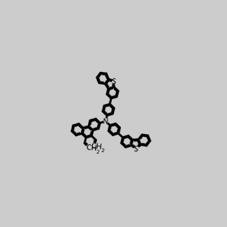 C=Cc1c(C=C)c2cc(N(c3ccc(-c4ccc5sc6ccccc6c5c4)cc3)c3ccc(-c4ccc5sc6ccccc6c5c4)cc3)ccc2c2ccccc12